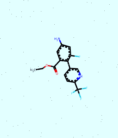 CCOC(=O)c1cc(N)cc(F)c1-c1ccc(C(F)(F)F)nc1